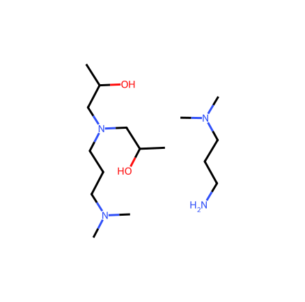 CC(O)CN(CCCN(C)C)CC(C)O.CN(C)CCCN